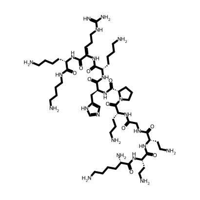 N=C(N)NCC/C=C(\NC(=O)[C@H](CCCCN)NC(=O)[C@H](Cc1cnc[nH]1)NC(=O)[C@@H]1CCCN1C(=O)[C@@H](CCCN)NC(=O)CNC(=O)[C@H](CCN)NC(=O)[C@H](CCN)NC(=O)[C@@H](N)CCCCN)C(=O)N[C@@H](CCCCN)C(=O)NCCCCN